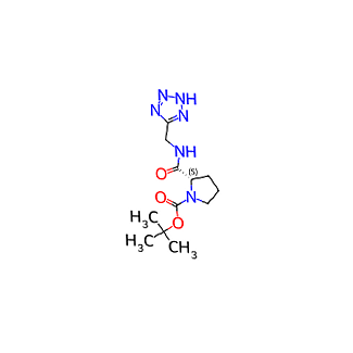 CC(C)(C)OC(=O)N1CCC[C@H]1C(=O)NCc1nn[nH]n1